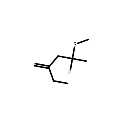 C=C(CC)CC(C)(F)SC